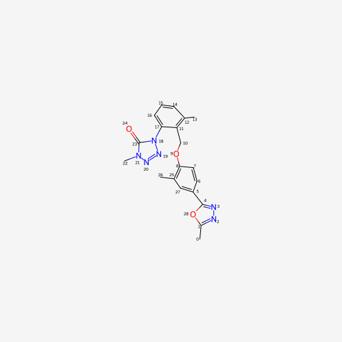 Cc1nnc(-c2ccc(OCc3c(C)cccc3-n3nnn(C)c3=O)c(C)c2)o1